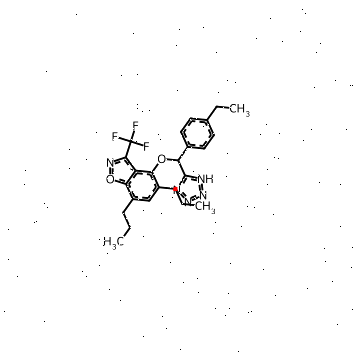 CCCc1cc(CCC)c2onc(C(F)(F)F)c2c1OC(c1ccc(CC)cc1)c1nnn[nH]1